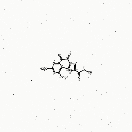 O=C(O)c1cc(C(=O)O)c2c(n1)C(=O)C(=O)c1cc(C(=O)OO)[nH]c1-2